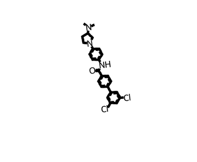 CN(C)C1CCN(c2ccc(NC(=O)c3ccc(-c4cc(Cl)cc(Cl)c4)cc3)cc2)C1